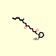 C=C/C=C\C=C(/C)CCC(=O)CCCCC(=O)C[C@H]1CCCCC1CCCC